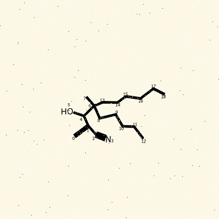 C=C(C#N)C(O)C(C)(CCCCC)CCCCCC